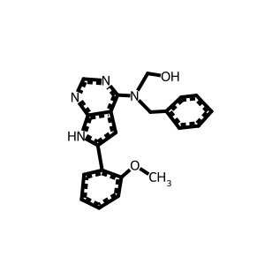 COc1ccccc1-c1cc2c(N(CO)Cc3ccccc3)ncnc2[nH]1